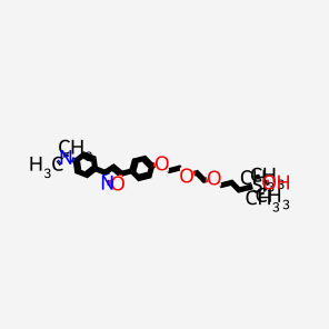 CN(C)c1ccc(-c2cc(-c3ccc(OCCOCCOCCCC(C)(C)[Si](C)(C)O)cc3)on2)cc1